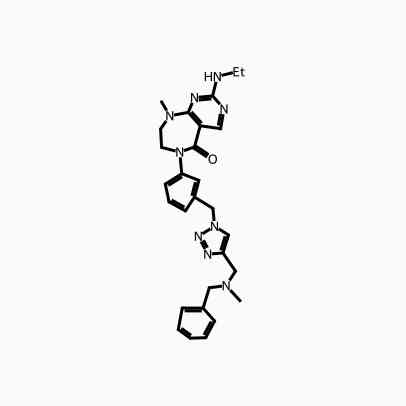 CCNc1ncc2c(n1)N(C)CCN(c1cccc(Cn3cc(CN(C)Cc4ccccc4)nn3)c1)C2=O